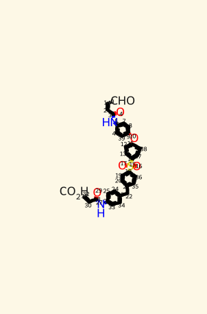 O=C/C=C\C(=O)Nc1ccc(Oc2ccc(S(=O)(=O)c3ccc(Cc4ccc(NC(=O)/C=C\C(=O)O)cc4)cc3)cc2)cc1